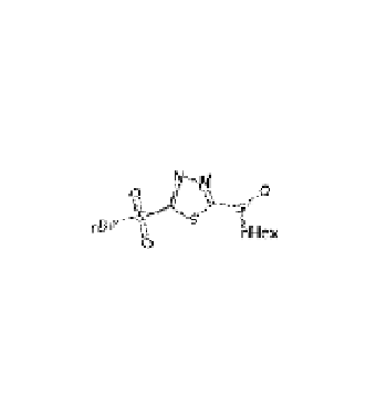 CCCCCC[S+]([O-])c1nnc(S(=O)(=O)CCCC)s1